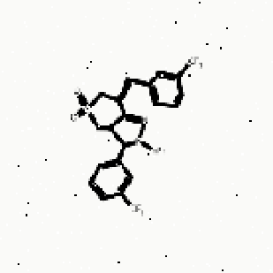 CCCN1N=C2/C(=C\c3cccc(C(F)(F)F)c3)CS(=O)(=O)CC2C1c1cccc(C(F)(F)F)c1